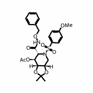 COc1ccc(S(=O)(=O)N2C[C@@H]3OC(C)(C)O[C@@H]3[C@@H](OC(C)=O)[C@@H]2C(=O)NOCc2ccccc2)cc1